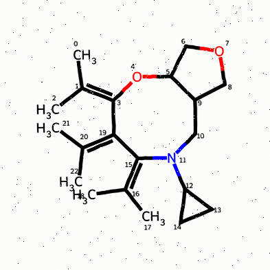 CC(C)=C1OC2COCC2CN(C2CC2)C(=C(C)C)C1=C(C)C